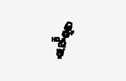 [O-][S+]1CC2CCC(C1)N2c1ccc(N2C[C@H](Cn3cncn3)OC2O)cc1F